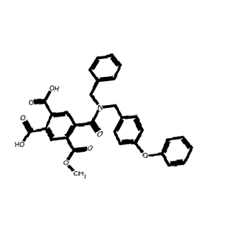 COC(=O)c1cc(C(=O)O)c(C(=O)O)cc1C(=O)N(Cc1ccccc1)Cc1ccc(Oc2ccccc2)cc1